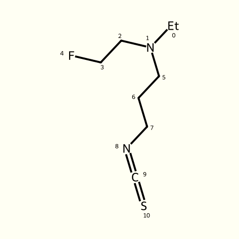 CCN(CCF)CCCN=C=S